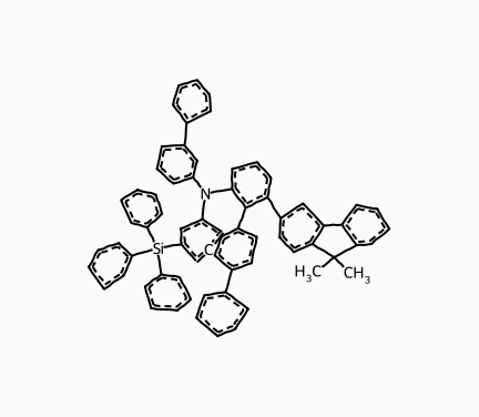 CC1(C)c2ccccc2-c2cc(-c3cccc(N(c4cccc(-c5ccccc5)c4)c4cccc([Si](c5ccccc5)(c5ccccc5)c5ccccc5)c4)c3-c3ccc(-c4ccccc4)cc3)ccc21